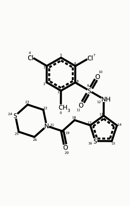 Cc1cc(Cl)cc(Cl)c1S(=O)(=O)Nc1ccsc1CC(=O)N1CCSCC1